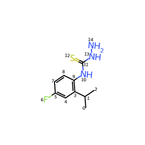 CC(C)c1cc(F)ccc1NC(=S)NN